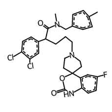 Cc1ccc(CN(C)C(=O)C(CCCN2CCC3(CC2)OC(=O)Nc2ccc(F)cc23)c2ccc(Cl)c(Cl)c2)cc1